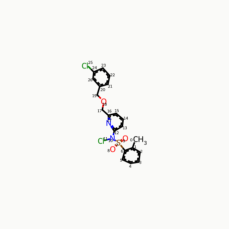 Cc1ccccc1S(=O)(=O)N(Cl)c1cccc(COCc2cccc(Cl)c2)n1